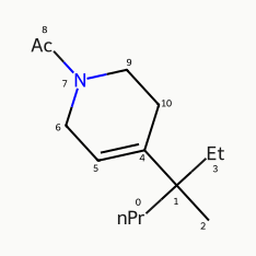 CCCC(C)(CC)C1=CCN(C(C)=O)CC1